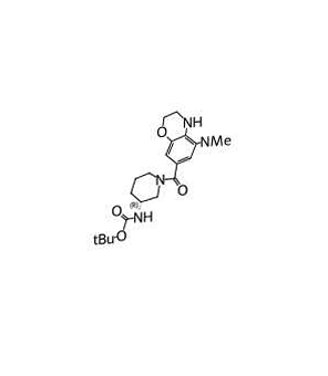 CNc1cc(C(=O)N2CCC[C@@H](NC(=O)OC(C)(C)C)C2)cc2c1NCCO2